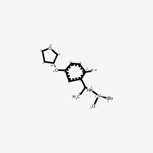 CC(N[S@+]([O-])C(C)(C)C)c1cc(O[C@@H]2CCOC2)ccc1F